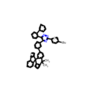 CC(C)(C)c1ccc(-c2nnc(-c3ccccc3-c3ccccc3)c(-c3cccc(-c4ccc5c(c4)C4(c6ccccc6-c6ccccc64)c4ccccc4C5(C)C)c3)n2)cc1